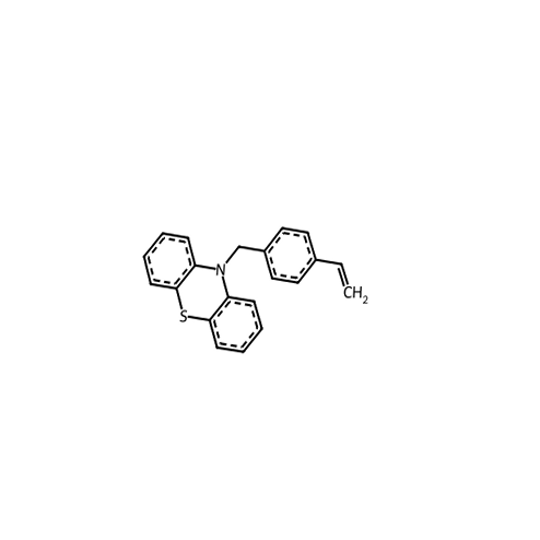 C=Cc1ccc(CN2c3ccccc3Sc3ccccc32)cc1